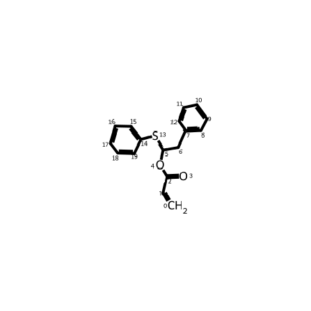 C=CC(=O)OC(Cc1ccccc1)Sc1ccccc1